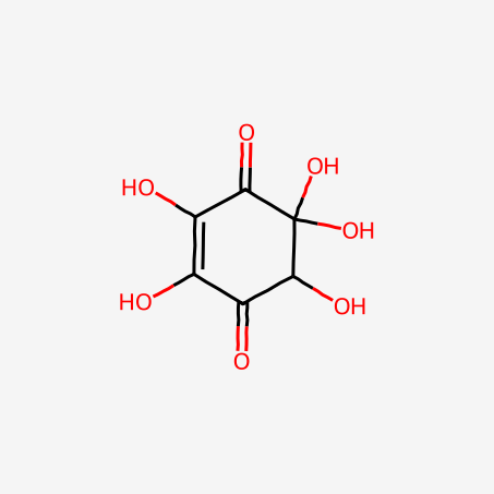 O=C1C(O)=C(O)C(=O)C(O)(O)C1O